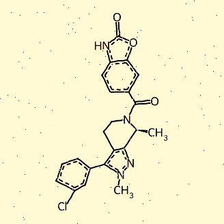 C[C@H]1c2nn(C)c(-c3cccc(Cl)c3)c2CCN1C(=O)c1ccc2[nH]c(=O)oc2c1